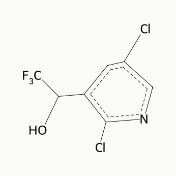 OC(c1cc(Cl)cnc1Cl)C(F)(F)F